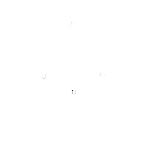 Clc1cc2c3c(c1)Oc1ccccc1N3c1ccccc1O2